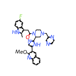 COc1nc2ccccc2cc1-c1cnc(C2CN(Cc3cnccn3)CCN2C(=O)Cc2c(C)[nH]c3ccc(F)cc23)[nH]1